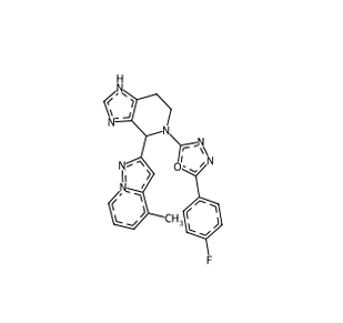 Cc1cccn2nc(C3c4nc[nH]c4CCN3c3nnc(-c4ccc(F)cc4)o3)cc12